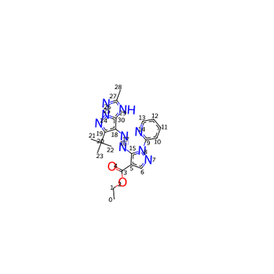 CCOC(=O)c1cnn(-c2ccccn2)c1/N=N/c1c(C(C)(C)C)nn2nc(C)[nH]c12